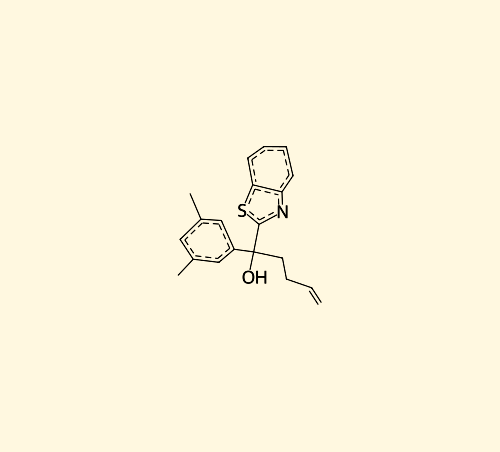 C=CCCC(O)(c1cc(C)cc(C)c1)c1nc2ccccc2s1